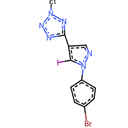 CCn1nnc(-c2cnn(-c3ccc(Br)cc3)c2I)n1